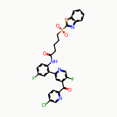 O=C(CCCCS(=O)(=O)c1nc2ccccc2s1)Nc1ccc(F)cc1-c1cc(C(=O)c2ccc(Cl)cn2)c(F)cn1